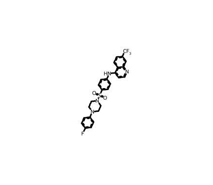 O=S(=O)(c1ccc(Nc2ccnc3cc(C(F)(F)F)ccc23)cc1)N1CCN(c2ccc(F)cc2)CC1